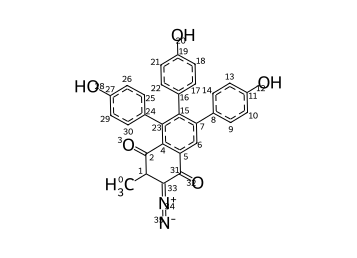 CC1C(=O)c2c(cc(-c3ccc(O)cc3)c(-c3ccc(O)cc3)c2-c2ccc(O)cc2)C(=O)C1=[N+]=[N-]